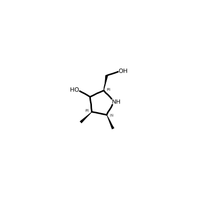 C[C@@H]1N[C@H](CO)C(O)[C@@H]1C